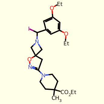 CCOC(=O)C1(C)CCN(C2=NOC3(C2)CN(C(I)c2cc(OCC)cc(OCC)c2)C3)CC1